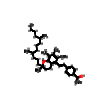 COC(=O)c1ccc(/C=C/c2c3c(c(C)c(C)c2OC)OC(C)(CCCC(C)CCCC(C)CCCC(C)C)CC3)cc1